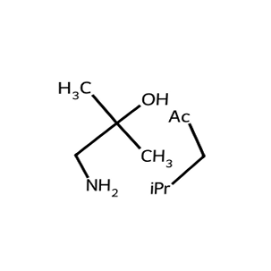 CC(=O)CC(C)C.CC(C)(O)CN